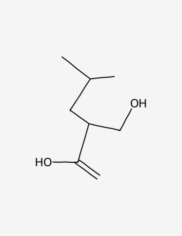 C=C(O)C(CO)CC(C)C